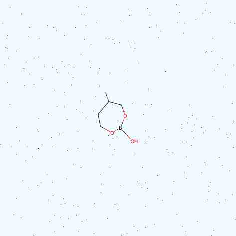 CC1CCOB(O)OC1